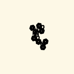 c1ccc(-c2nc(-c3cccc4c3oc3cc(-n5c6ccccc6c6ccccc65)ccc34)nc(-c3cccc4oc5ccccc5c34)n2)cc1